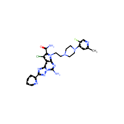 Cc1cc(N2CCN(CCn3c(C(N)=O)c(Cl)c4c3nc(N)n3nc(-c5ccccn5)nc43)CC2)c(F)cn1